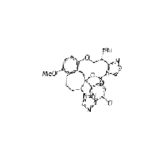 COc1ccc(OCC(c2nccn2C(=O)OC2(c3ccc(Cl)cc3)CCCCCC2n2cncn2)C(C)(C)C)cc1